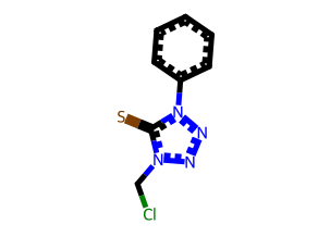 S=c1n(CCl)nnn1-c1ccccc1